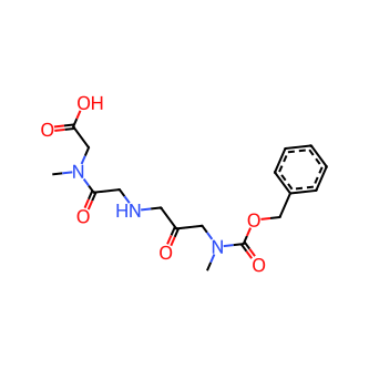 CN(CC(=O)O)C(=O)CNCC(=O)CN(C)C(=O)OCc1ccccc1